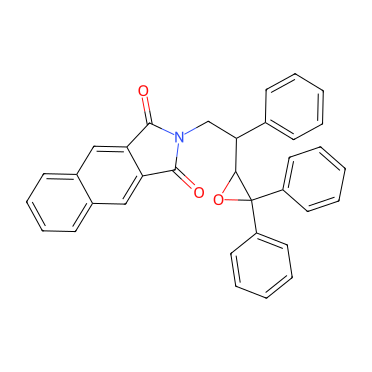 O=C1c2cc3ccccc3cc2C(=O)N1CC(c1ccccc1)C1OC1(c1ccccc1)c1ccccc1